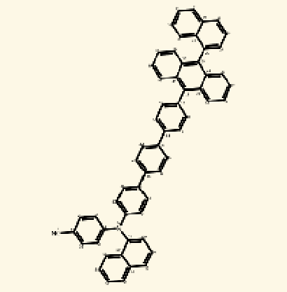 N#Cc1ccc(N(c2ccc(-c3ccc(-c4ccc(-c5c6ccccc6c(-c6cccc7ccccc67)c6ccccc56)cc4)cc3)cc2)c2cccc3ccccc23)cc1